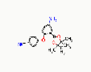 CC1(C)OB(c2cc(N)ccc2Oc2ccc(C#N)cc2)OC1(C)C